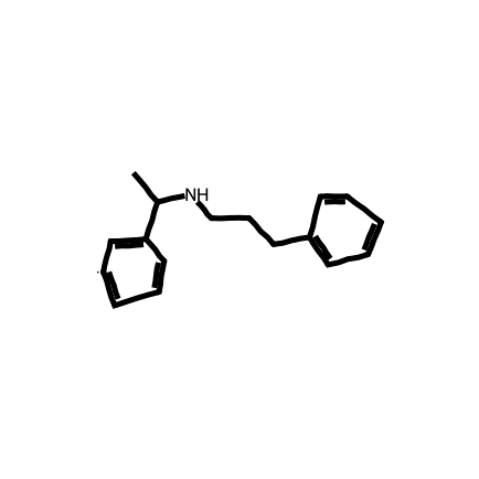 CC(NCCCc1ccccc1)c1c[c]ccc1